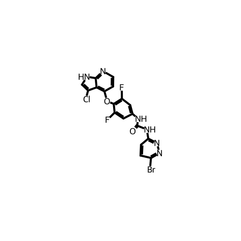 O=C(Nc1cc(F)c(Oc2ccnc3[nH]cc(Cl)c23)c(F)c1)Nc1ccc(Br)nn1